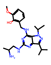 COc1cccc(CNc2nc(NCC(C)N)nc3c(C(C)C)nn(C(C)C)c23)c1O